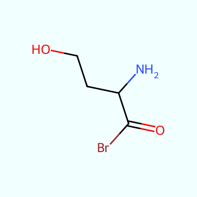 NC(CCO)C(=O)Br